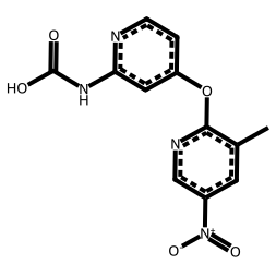 Cc1cc([N+](=O)[O-])cnc1Oc1ccnc(NC(=O)O)c1